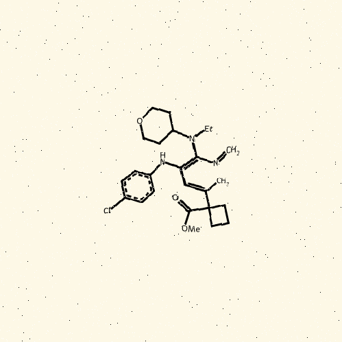 C=N/C(=C(\C=C(/C)C1(C(=O)OC)CCC1)Nc1ccc(Cl)cc1)N(CC)C1CCOCC1